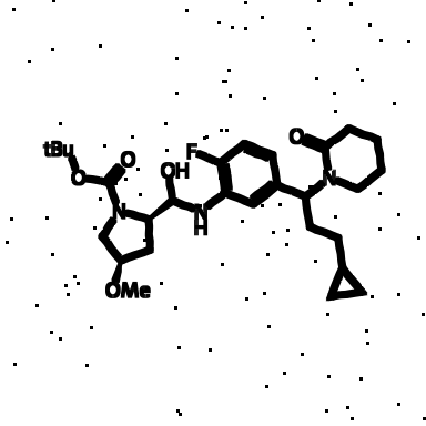 CO[C@@H]1C[C@H](C(O)Nc2cc(C(CCC3CC3)N3CCCCC3=O)ccc2F)N(C(=O)OC(C)(C)C)C1